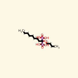 CCCCCCCCC(OCCCC)(P(=O)(O)O)P(=O)(O)O